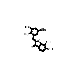 CC(C)(C)c1cc(C=C2Oc3c(ccc(O)c3O)C2=O)c(O)c(C(C)(C)C)c1